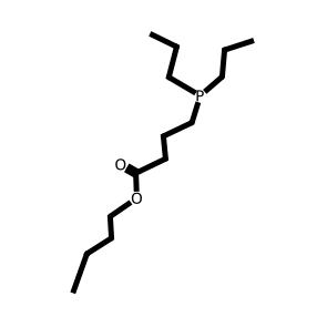 CCCCOC(=O)CCCP(CCC)CCC